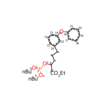 CCCCOP(OCCCC)OC(CCCc1cccc(Oc2ccccc2)c1)C(=O)OCC